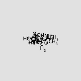 CC(C)[C@H](N)C(=O)N[C@@H](C)C(=O)N[C@@]1(C(=O)O)C[C@H](O)[C@H]2C[C@H]21